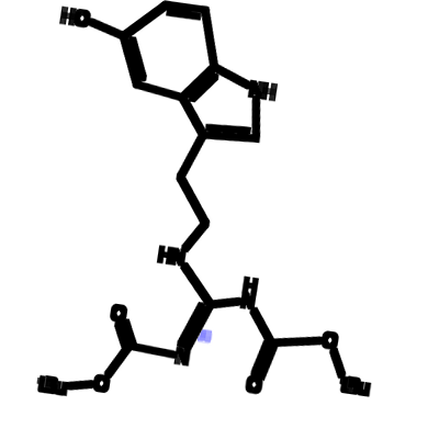 CC(C)(C)OC(=O)/N=C(\NCCc1c[nH]c2ccc(O)cc12)NC(=O)OC(C)(C)C